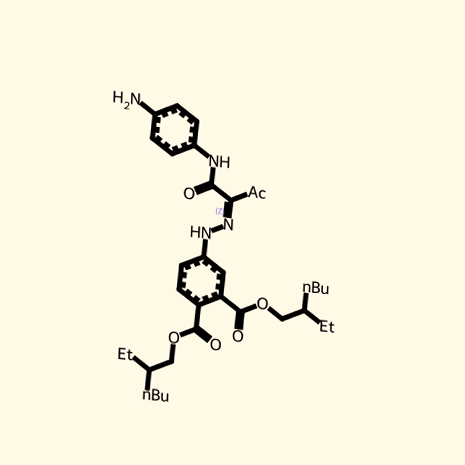 CCCCC(CC)COC(=O)c1ccc(N/N=C(/C(C)=O)C(=O)Nc2ccc(N)cc2)cc1C(=O)OCC(CC)CCCC